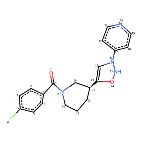 O=C(c1ccc(F)cc1)N1CCC[C@H](C2=CN(c3ccncc3)NO2)C1